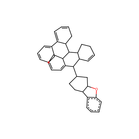 C1=CCCC(C2=CC=CCC2C2C3CC=CC=C3C(C3CCC4c5ccccc5OC4C3)C3C=CCCC32)=C1